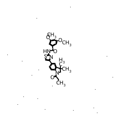 CCC(=O)N1CC(C)(C)c2cc(-c3csc(NC(=O)c4cc(OC)cc(OC)c4)n3)ccc21